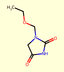 CCOCN1CC(=O)NC1=O